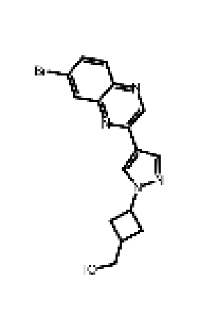 OCC1CC(n2cc(-c3cnc4ccc(Br)cc4n3)cn2)C1